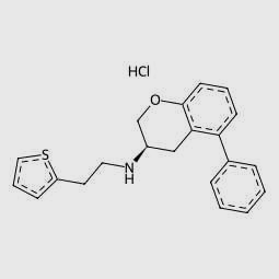 Cl.c1ccc(-c2cccc3c2C[C@@H](NCCc2cccs2)CO3)cc1